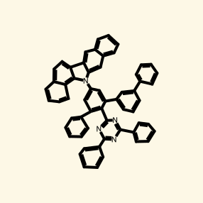 c1ccc(-c2cccc(-c3cc(-n4c5cc6ccccc6cc5c5ccc6ccccc6c54)cc(-c4ccccc4)c3-c3nc(-c4ccccc4)nc(-c4ccccc4)n3)c2)cc1